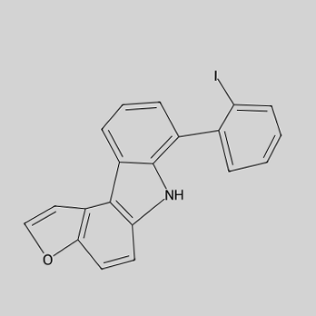 Ic1ccccc1-c1cccc2c1[nH]c1ccc3occc3c12